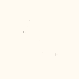 O=C(CS)Oc1cccc2c(C(=O)O)cccc12